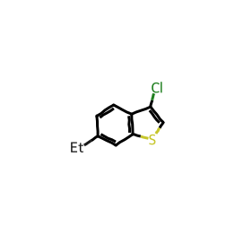 CCc1ccc2c(Cl)csc2c1